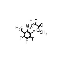 C=C(C)C(=O)OC.C=Cc1c(F)c(F)c(F)c(F)c1F